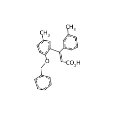 Cc1cccc(/C(=C\C(=O)O)c2cc(C)ccc2OCc2ccccc2)c1